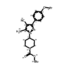 CC(C)Oc1ccc(-c2nn(C3CCN(C(=O)OC(C)(C)C)CC3)c(N)c2C#N)cc1